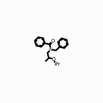 CC(C)OC(C)CN(Cc1ccccc1)C(=O)c1ccccc1